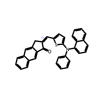 O=C1/C(=C\c2ccc(N(c3ccccc3)c3cccc4ccccc34)s2)Cc2cc3ccccc3cc21